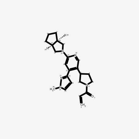 C=CC(=O)N1CCC(c2cnc(N3C[C@H]4CCC[C@H]4C3)cc2-c2ccn(C)n2)C1